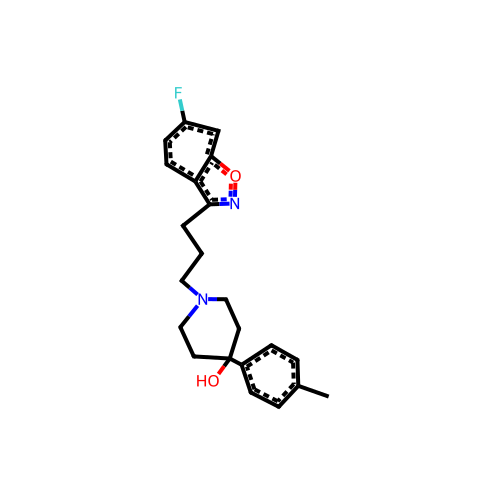 Cc1ccc(C2(O)CCN(CCCc3noc4cc(F)ccc34)CC2)cc1